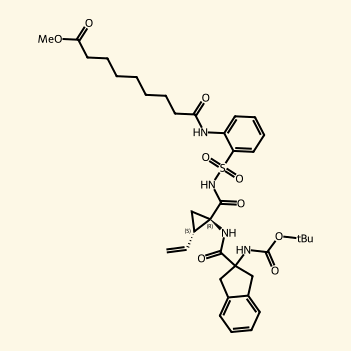 C=C[C@@H]1C[C@]1(NC(=O)C1(NC(=O)OC(C)(C)C)Cc2ccccc2C1)C(=O)NS(=O)(=O)c1ccccc1NC(=O)CCCCCCCC(=O)OC